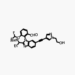 CCC(NC)c1nc2ccc(C#Cc3cnn(CCO)c3)cc2n1-c1c(C=O)cccc1OC(F)F